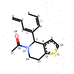 C=C/C=C(\C=C/C)C1c2ccsc2CCN1C(C)=O